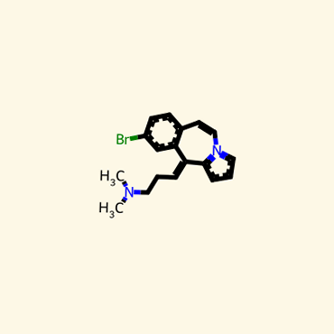 CN(C)CCC=C1c2cc(Br)ccc2C=Cn2cccc21